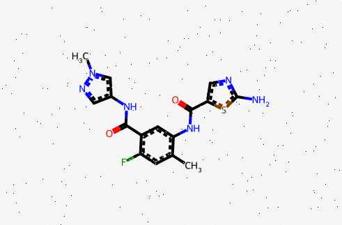 Cc1cc(F)c(C(=O)Nc2cnn(C)c2)cc1NC(=O)c1cnc(N)s1